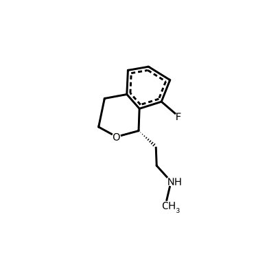 CNCC[C@@H]1OCCc2cccc(F)c21